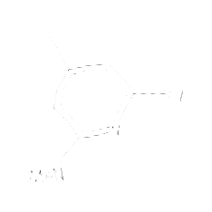 CNc1cc(C)cc(Cl)n1